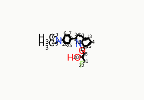 CCN(CC)c1ccc(C2=NC3C(=CC=C[C@@H]3OCC(O)CF)CC2)cc1